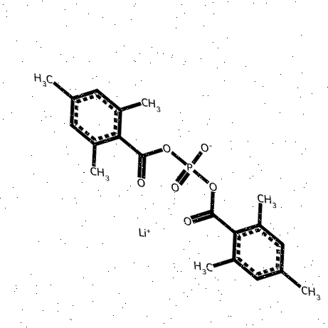 Cc1cc(C)c(C(=O)OP(=O)([O-])OC(=O)c2c(C)cc(C)cc2C)c(C)c1.[Li+]